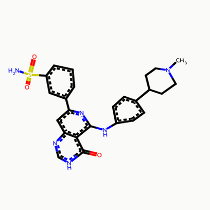 CN1CCC(c2ccc(Nc3nc(-c4cccc(S(N)(=O)=O)c4)cc4nc[nH]c(=O)c34)cc2)CC1